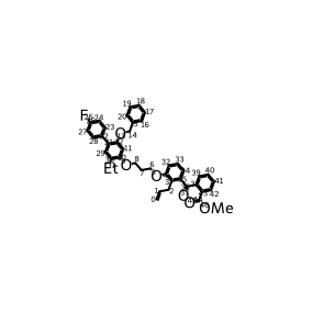 C=CCc1c(OCCCOc2cc(OCc3ccccc3)c(-c3ccc(F)cc3)cc2CC)cccc1C(=O)c1ccccc1C(=O)OC